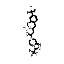 N[C@@H](CC(=O)N1CCn2c(nnc2C(F)(F)F)C1)Cc1ccc(C(F)(F)F)cc1F